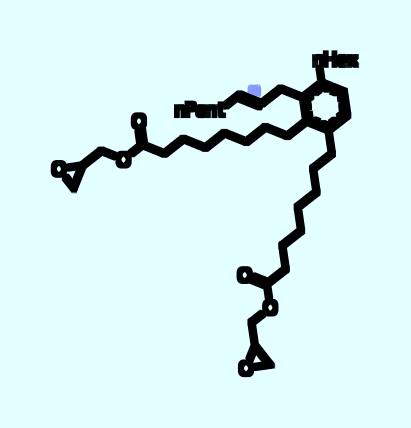 CCCCC/C=C/Cc1c(CCCCCC)ccc(CCCCCCCC(=O)OCC2CO2)c1CCCCCCCC(=O)OCC1CO1